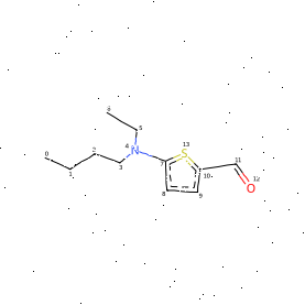 CCCCN(CC)c1ccc(C=O)s1